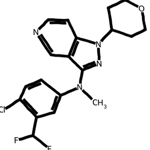 CN(c1ccc(Cl)c(C(F)F)c1)c1nn(C2CCOCC2)c2ccncc12